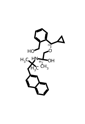 CC(C)(Cc1ccc2ccccc2c1)N[C@](C)(O)CO[C@H](c1ccccc1CO)C1CC1